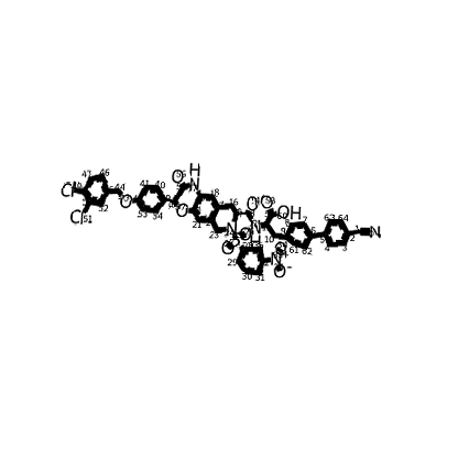 N#Cc1ccc(-c2ccc(CC(NC(=O)[C@@H]3Cc4cc5c(cc4CN3S(=O)(=O)c3cccc([N+](=O)[O-])c3)O[C@@H](c3ccc(OCc4ccc(Cl)c(Cl)c4)cc3)C(=O)N5)C(=O)O)cc2)cc1